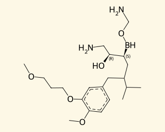 COCCCOc1cc(CC(C[C@H](BOCN)[C@@H](O)CN)C(C)C)ccc1OC